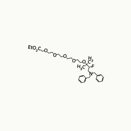 CCOC(=O)COCCOCCOCCOCCOC(C)(C)C(F)CN(Cc1ccccc1)Cc1ccccc1